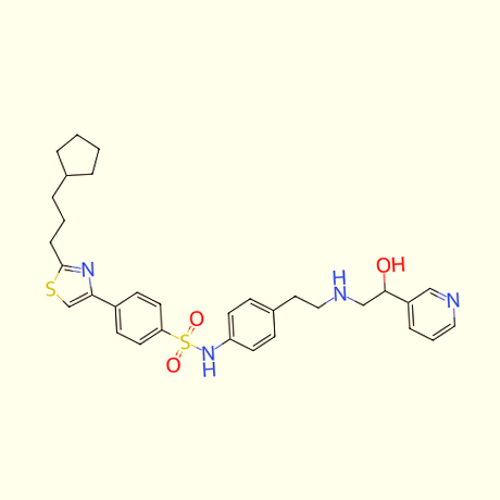 O=S(=O)(Nc1ccc(CCNCC(O)c2cccnc2)cc1)c1ccc(-c2csc(CCCC3CCCC3)n2)cc1